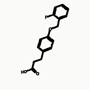 O=C(O)CCc1ccc(OCc2ccccc2F)cc1